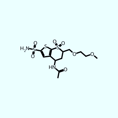 COCCOCC1CC(NC(C)=O)c2cc(S(N)(=O)=O)sc2S1(=O)=O